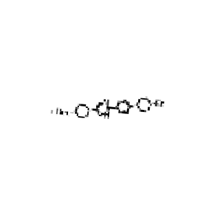 CCCCCCCCCCC1CCC(c2cnc(-c3ccc(C4CCC(CC)CC4)cc3)nc2)CC1